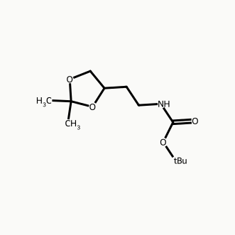 CC(C)(C)OC(=O)NCCC1COC(C)(C)O1